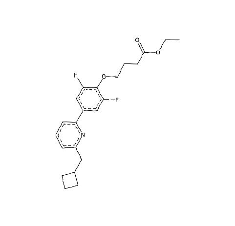 CCOC(=O)CCCOc1c(F)cc(-c2cccc(CC3CCC3)n2)cc1F